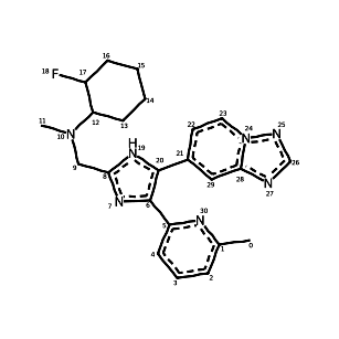 Cc1cccc(-c2nc(CN(C)C3CCCCC3F)[nH]c2-c2ccn3ncnc3c2)n1